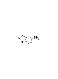 NC1=NC=C2N=NC=C2C1